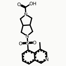 Cc1cncc2cccc(S(=O)(=O)N3CC4CN(C(=O)O)CC4C3)c12